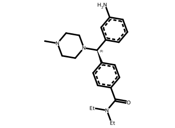 CCN(CC)C(=O)c1ccc([C@H](c2cccc(N)c2)N2CCN(C)CC2)cc1